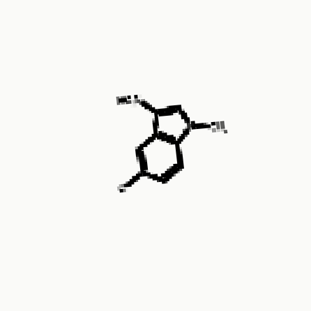 Cn1cc(C(=O)O)c2cc(Cl)ccc21